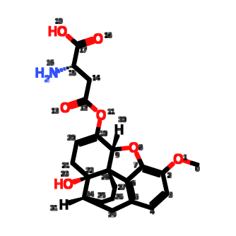 COc1ccc2c3c1O[C@H]1C(OC(=O)C[C@H](N)C(=O)O)=CC[C@@]4(O)[C@H](CCC[C@]314)C2